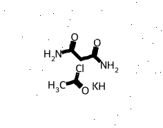 CC(=O)Cl.NC(=O)CC(N)=O.[KH]